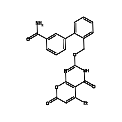 CCc1cc(=O)oc2nc(OCc3ccccc3-c3cccc(C(N)=O)c3)[nH]c(=O)c12